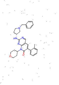 Cc1ccccc1-c1cc2cnc(N[C@@H]3CCN(Cc4ccccc4)C3)nc2n(C2CCOCC2)c1=O